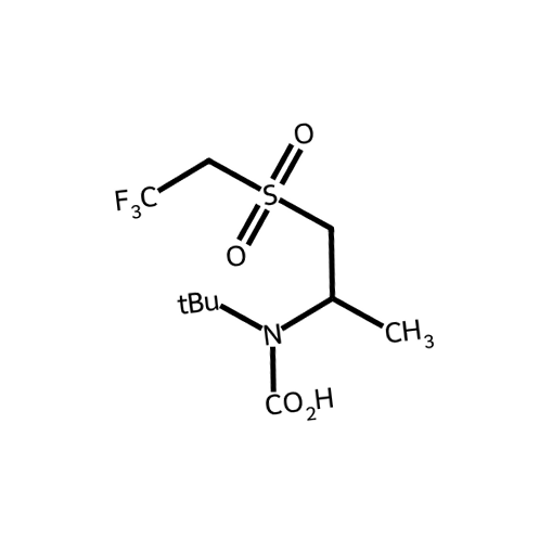 CC(CS(=O)(=O)CC(F)(F)F)N(C(=O)O)C(C)(C)C